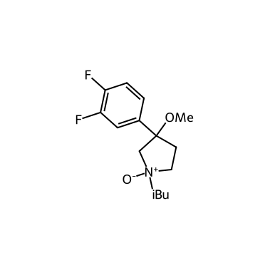 CCC(C)[N+]1([O-])CCC(OC)(c2ccc(F)c(F)c2)C1